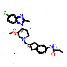 CCC(=O)Nc1ccc2c(c1)C[C@H](CN1CC[C@@H](n3c(C)nc4cc(F)ccc43)[C@H](OC)C1)C2